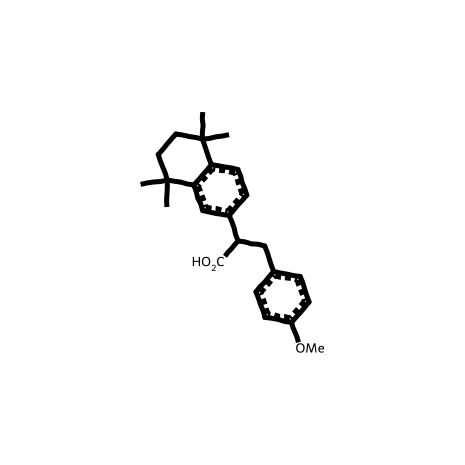 COc1ccc(CC(C(=O)O)c2ccc3c(c2)C(C)(C)CCC3(C)C)cc1